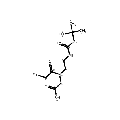 CC(C)(C)OC(=O)NCCN(CC(=O)O)C(=O)CF